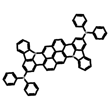 c1ccc(N(c2ccccc2)c2cc3c4c(c2)-c2ccc5cc6c7c(ccc8cc(c2c5c87)B4c2ccccc2-3)-c2cc(N(c3ccccc3)c3ccccc3)cc3c2B6c2ccccc2-3)cc1